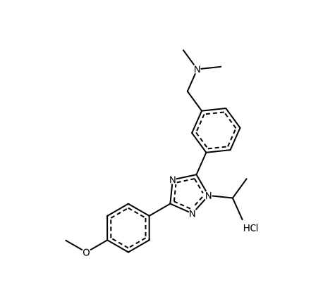 COc1ccc(-c2nc(-c3cccc(CN(C)C)c3)n(C(C)C)n2)cc1.Cl